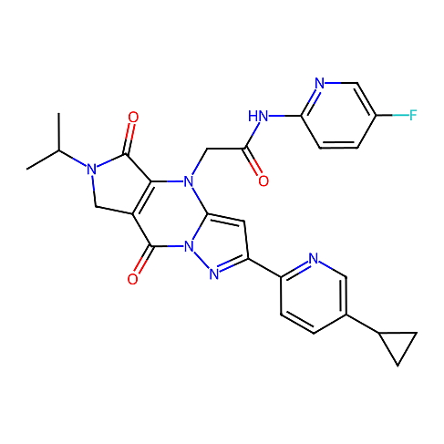 CC(C)N1Cc2c(n(CC(=O)Nc3ccc(F)cn3)c3cc(-c4ccc(C5CC5)cn4)nn3c2=O)C1=O